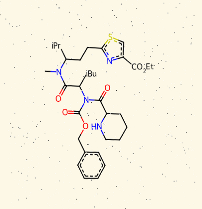 CCOC(=O)c1csc(CCC(C(C)C)N(C)C(=O)C(C(C)CC)N(C(=O)OCc2ccccc2)C(=O)C2CCCCN2)n1